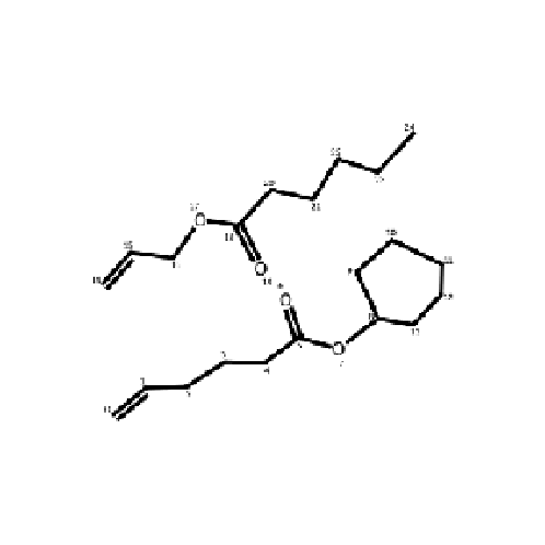 C=CCCCC(=O)OC1CCCCC1.C=CCOC(=O)CCCCC